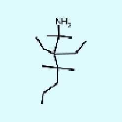 CCCC(C)(C)C(CC)(CC)C(C)(C)N